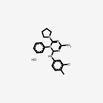 Cc1ccc(NC2N=C(N)N=C(N3CCCC3)N2c2ccccc2)cc1Cl.Cl